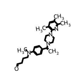 C=C(c1ccc(N(C)CCCC=O)cc1)N1CCN(c2nc(C)c(C)cc2C)CC1